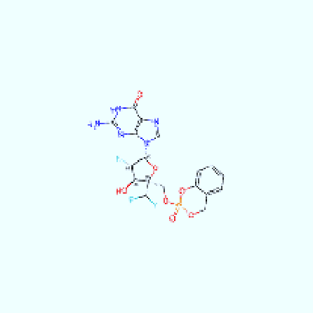 Nc1nc2c(ncn2[C@@H]2O[C@@](COP3(=O)OCc4ccccc4O3)(C(F)F)[C@@H](O)[C@@H]2F)c(=O)[nH]1